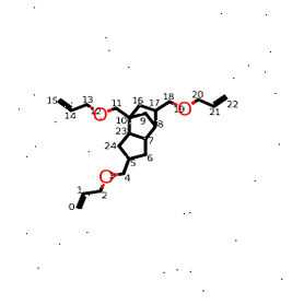 C=CCOCC1CC2C3CC(COCC=C)(CC3COCC=C)C2C1